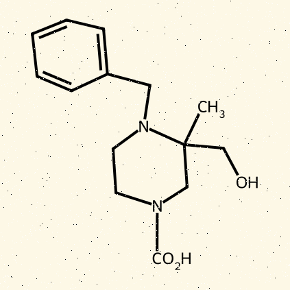 CC1(CO)CN(C(=O)O)CCN1Cc1ccccc1